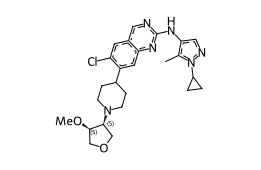 CO[C@@H]1COC[C@@H]1N1CCC(c2cc3nc(Nc4cnn(C5CC5)c4C)ncc3cc2Cl)CC1